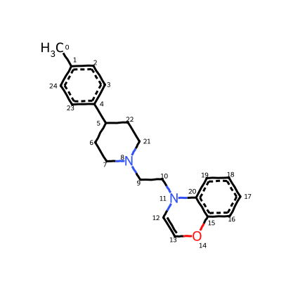 Cc1ccc(C2CCN(CCN3C=COc4ccccc43)CC2)cc1